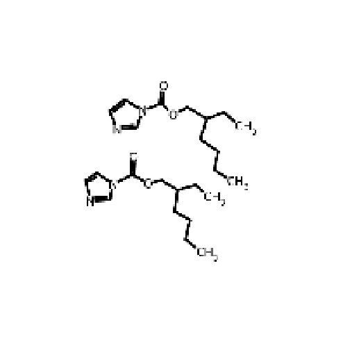 CCCCC(CC)COC(=O)n1ccnc1.CCCCC(CC)COC(=O)n1ccnc1